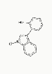 Oc1ccccc1-c1cn(Cl)c2ccccc12